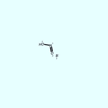 O=NO.[B]